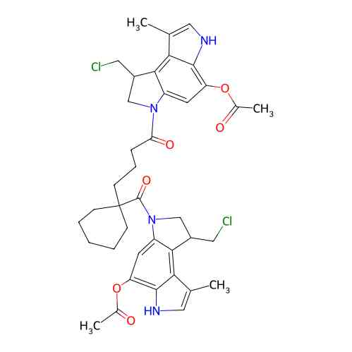 CC(=O)Oc1cc2c(c3c(C)c[nH]c13)C(CCl)CN2C(=O)CCCC1(C(=O)N2CC(CCl)c3c2cc(OC(C)=O)c2[nH]cc(C)c32)CCCCC1